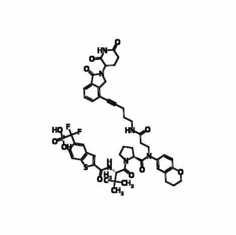 CC(C)(C)[C@H](NC(=O)c1cc2cc(C(F)(F)P(=O)(O)O)ccc2s1)C(=O)N1CCC[C@H]1C(=O)N(CCC(=O)NCCCC#Cc1cccc2c1CN(C1CCC(=O)NC1=O)C2=O)c1ccc2c(c1)CCCO2